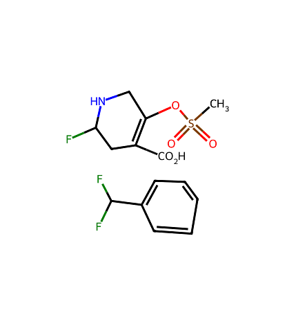 CS(=O)(=O)OC1=C(C(=O)O)CC(F)NC1.FC(F)c1ccccc1